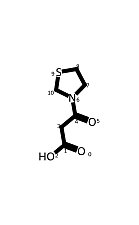 O=C(O)CC(=O)N1CCSC1